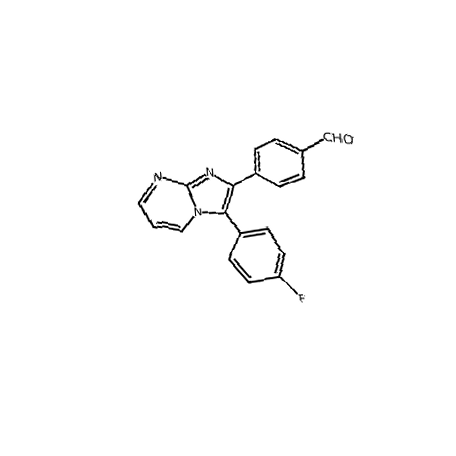 O=Cc1ccc(-c2nc3ncccn3c2-c2ccc(F)cc2)cc1